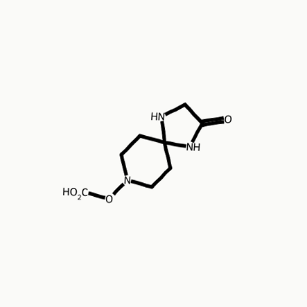 O=C1CNC2(CCN(OC(=O)O)CC2)N1